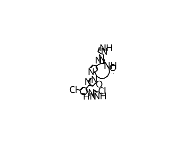 C[C@@H]1CCC[C@H](n2cnc(-c3cc(Cl)ccc3N3C=C(Cl)NN3)cc2=O)c2cc(ccn2)-c2nn(-c3cc[nH]n3)cc2NC1=O